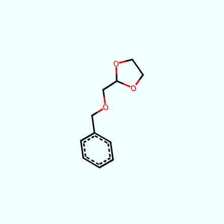 c1ccc(COCC2OCCO2)cc1